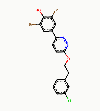 Oc1c(Br)cc(-c2ccc(OCCc3cccc(Cl)c3)nn2)cc1Br